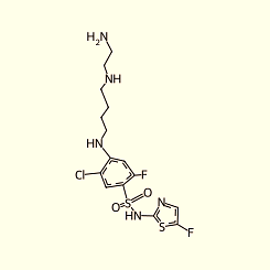 NCCNCCCCNc1cc(F)c(S(=O)(=O)Nc2ncc(F)s2)cc1Cl